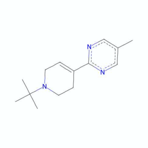 Cc1cnc(C2=CCN(C(C)(C)C)CC2)nc1